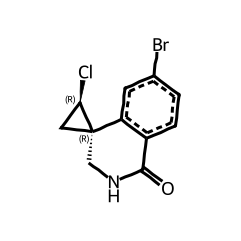 O=C1NC[C@@]2(C[C@H]2Cl)c2cc(Br)ccc21